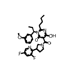 CCCCc1nc(O)c(C(=O)N2CCC(c3ncc(F)cc3F)C2)c(=O)n1C(CC)c1cccc(OC)c1